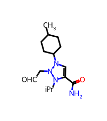 CC1CCC(N2C=C(C(N)=O)N(C(C)C)N2CC=O)CC1